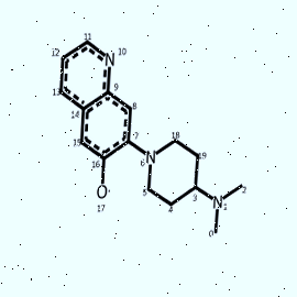 CN(C)C1CCN(c2cc3ncccc3cc2[O])CC1